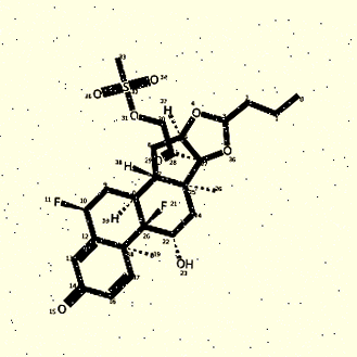 CCCC1O[C@@H]2C[C@H]3[C@@H]4C[C@H](F)C5=CC(=O)C=C[C@]5(C)[C@@]4(F)[C@@H](O)C[C@]3(C)[C@]2(C(=O)COS(C)(=O)=O)O1